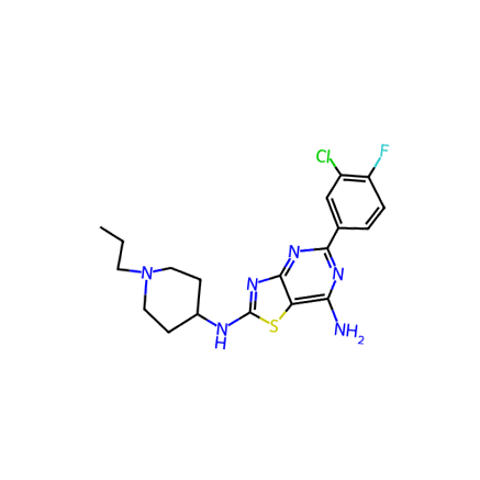 CCCN1CCC(Nc2nc3nc(-c4ccc(F)c(Cl)c4)nc(N)c3s2)CC1